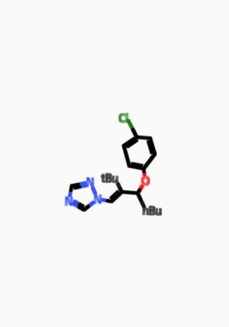 CCCCC(Oc1ccc(Cl)cc1)/C(=C/n1cncn1)C(C)(C)C